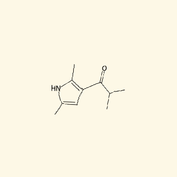 Cc1cc(C(=O)C(C)C)c(C)[nH]1